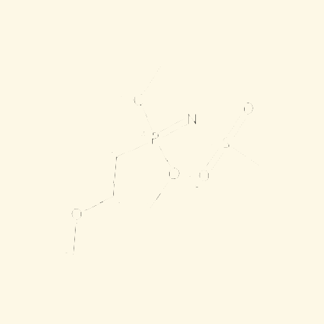 COCCP(=NS(C)(=O)=O)(OC)OC